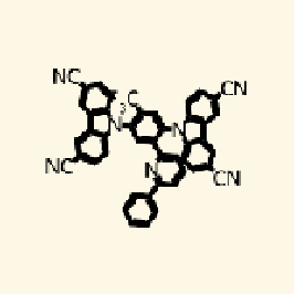 N#Cc1ccc2c(c1)c1cc(C#N)ccc1n2-c1cc(C(F)(F)F)c(-n2c3ccc(C#N)cc3c3cc(C#N)ccc32)cc1-c1cccc(-c2ccccc2)n1